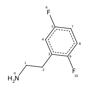 NCCc1cc(F)ccc1F